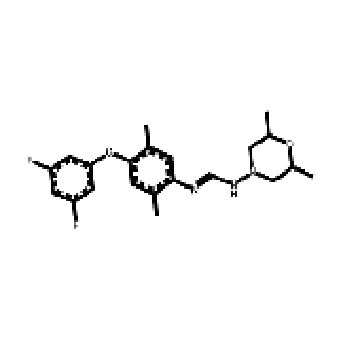 Cc1cc(Oc2cc(F)cc(F)c2)c(C)cc1N=CNN1CC(C)OC(C)C1